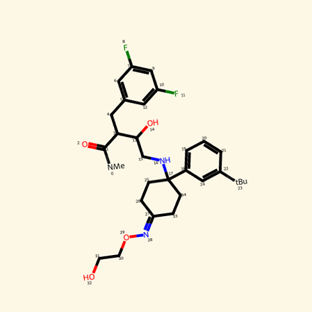 CNC(=O)C(Cc1cc(F)cc(F)c1)C(O)CNC1(c2cccc(C(C)(C)C)c2)CCC(=NOCCO)CC1